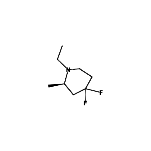 CCN1CCC(F)(F)C[C@H]1C